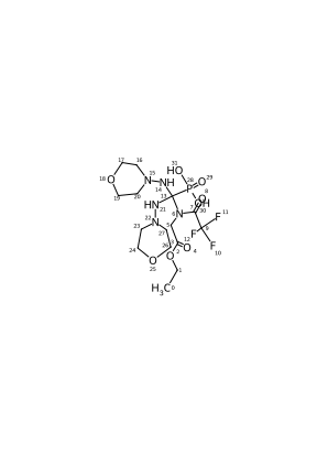 CCOC(=O)CN(C(=O)C(F)(F)F)C(NN1CCOCC1)(NN1CCOCC1)P(=O)(O)O